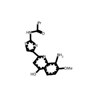 Bc1c(OC)ccc2c(O)cc(-c3csc(NC(=O)C(C)C)n3)nc12